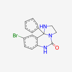 O=C1Nc2ccc(Br)cc2C2(c3ccccc3)NCCN12